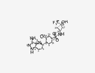 Nc1n[nH]c2ccc(-c3ccc(S(=O)(=O)NC4CC(O)(C(F)(F)F)C4)cc3Cl)nc12